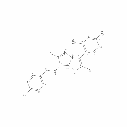 Cc1ccc(COc2c(C)nn3c(-c4ccc(Cl)cc4Cl)c(C)oc23)cc1